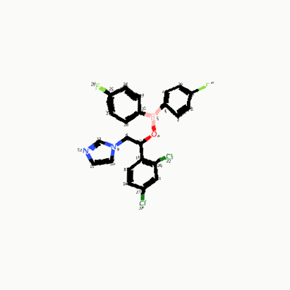 Fc1ccc(B(OC(Cn2ccnc2)c2ccc(Cl)cc2Cl)c2ccc(F)cc2)cc1